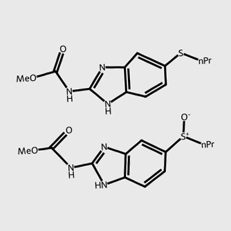 CCCSc1ccc2[nH]c(NC(=O)OC)nc2c1.CCC[S+]([O-])c1ccc2[nH]c(NC(=O)OC)nc2c1